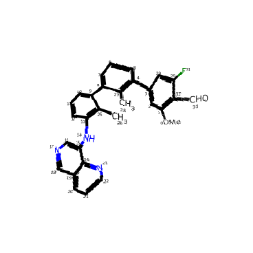 COc1cc(-c2cccc(-c3cccc(Nc4cncc5cccnc45)c3C)c2C)cc(F)c1C=O